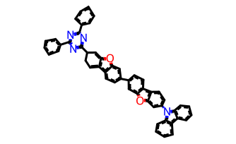 C1=c2oc3cc(-c4ccc5c(c4)oc4cc(-n6c7ccccc7c7ccccc76)ccc45)ccc3c2=CCC1c1nc(-c2ccccc2)nc(-c2ccccc2)n1